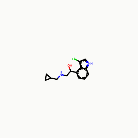 OC(CNCC1CC1)c1cccc2[nH]cc(Cl)c12